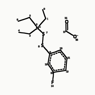 CC[N+](CC)(CC)SSc1cccc(F)c1.O=C[O-]